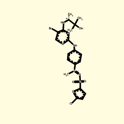 C[C@@H](Nc1nc(Nc2ccc(/S(C)=N/S(=O)(=O)c3ccc(Cl)s3)cc2)ncc1Br)C(C)(C)O